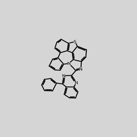 c1ccc(-c2nc(-c3nc4ccc5sc6cccc7c8ccccc8n3c4c5c67)nc3ccccc23)cc1